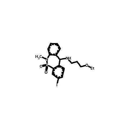 CCOCCCNC1c2ccccc2N(C)S(=O)(=O)c2cc(I)ccc21